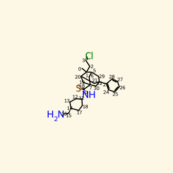 CC1(CCCl)C2CC3(C(=S)N[C@H]4CC[C@H](CN)CC4)CC1CC(c1ccccc1)(C2)C3